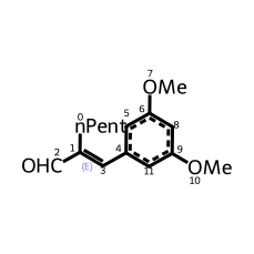 CCCCC/C(C=O)=C\c1cc(OC)cc(OC)c1